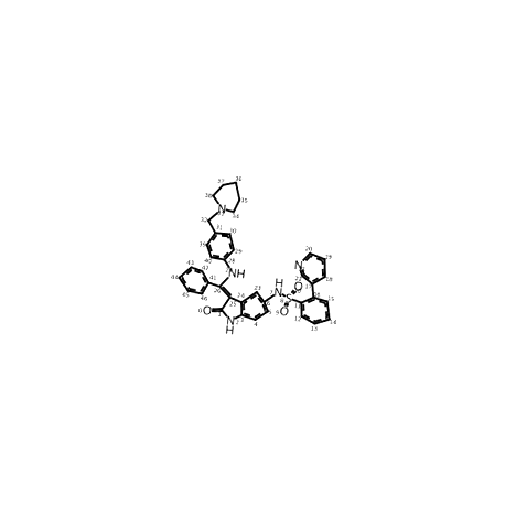 O=C1Nc2ccc(NS(=O)(=O)c3ccccc3-c3cccnc3)cc2C1=C(Nc1ccc(CN2CCCCC2)cc1)c1ccccc1